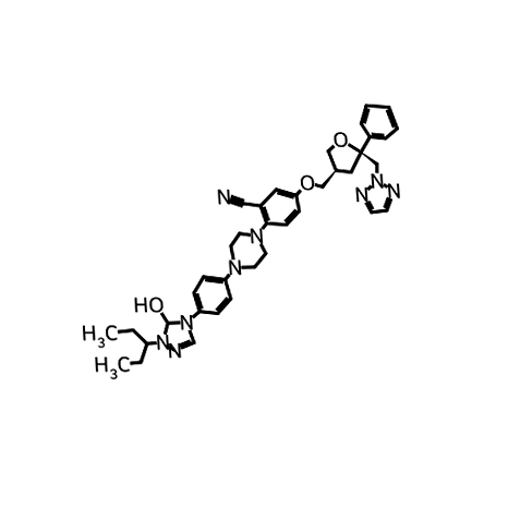 CCC(CC)N1N=CN(c2ccc(N3CCN(c4ccc(OC[C@H]5CO[C@](Cn6nccn6)(c6ccccc6)C5)cc4C#N)CC3)cc2)C1O